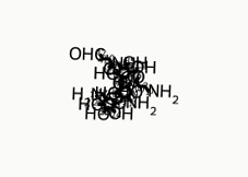 NCC[C@H](O)C(=O)NC1CC(N)C(OC2OC(CN)C(O)C(O)C2O)C(O)C1OC1OC(CO)C(O)C(NC(=O)CCC=O)C1O